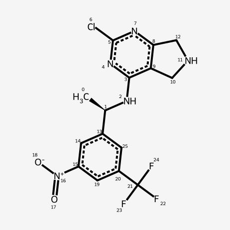 C[C@@H](Nc1nc(Cl)nc2c1CNC2)c1cc([N+](=O)[O-])cc(C(F)(F)F)c1